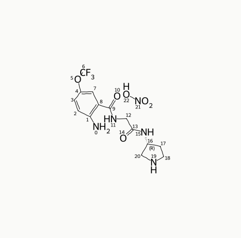 Nc1ccc(OC(F)(F)F)cc1C(=O)NCC(=O)N[C@@H]1CCNC1.O=[N+]([O-])O